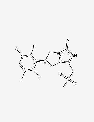 CS(=O)(=O)Cc1[nH]c(=S)n2c1C[C@@H](c1c(F)c(F)cc(F)c1F)C2